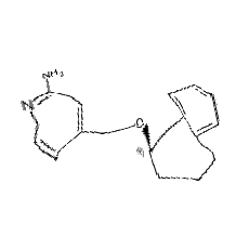 Nc1cc(CO[C@@H]2CCCc3ccccc32)ccn1